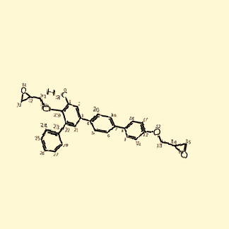 Cc1cc(-c2ccc(-c3ccc(OCC4CO4)cc3)cc2)cc(-c2ccccc2)c1OCC1CO1